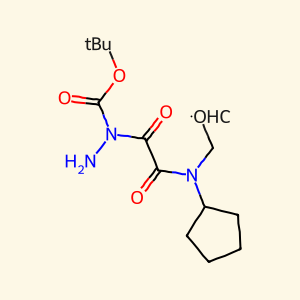 CC(C)(C)OC(=O)N(N)C(=O)C(=O)N(C[C]=O)C1CCCC1